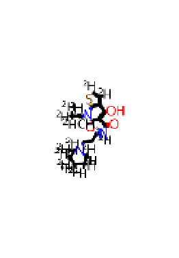 [2H]c1sc2c(c1[2H])c(O)c(C(=O)N([2H])CCCN1C([2H])([2H])C([2H])([2H])C([2H])([2H])C([2H])([2H])C1([2H])[2H])c(=O)n2C([2H])(C)C([2H])([2H])[2H]